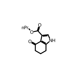 CCCOC(=O)c1c[nH]c2c1C(=O)CCC2